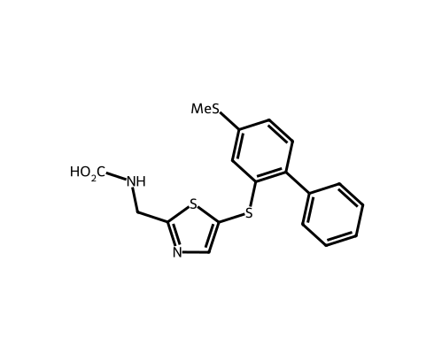 CSc1ccc(-c2ccccc2)c(Sc2cnc(CNC(=O)O)s2)c1